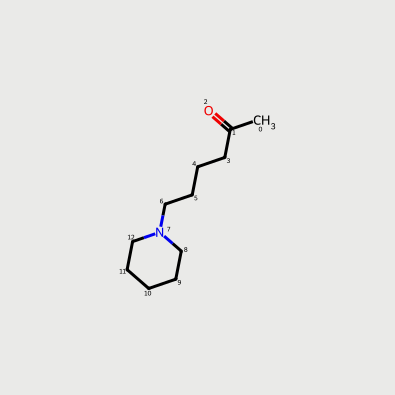 CC(=O)CCCCN1CCCCC1